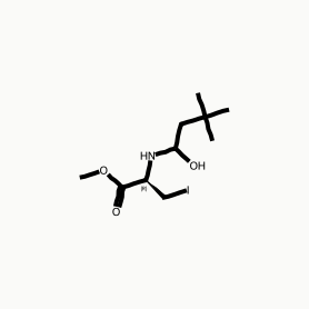 COC(=O)[C@H](CI)NC(O)CC(C)(C)C